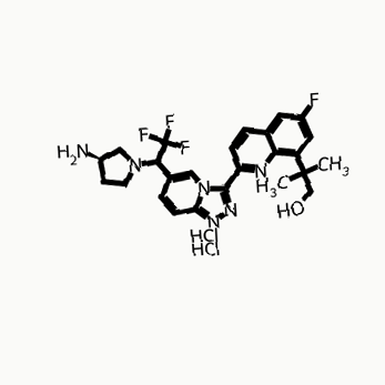 CC(C)(CO)c1cc(F)cc2ccc(-c3nnc4ccc(C(N5CC[C@@H](N)C5)C(F)(F)F)cn34)nc12.Cl.Cl